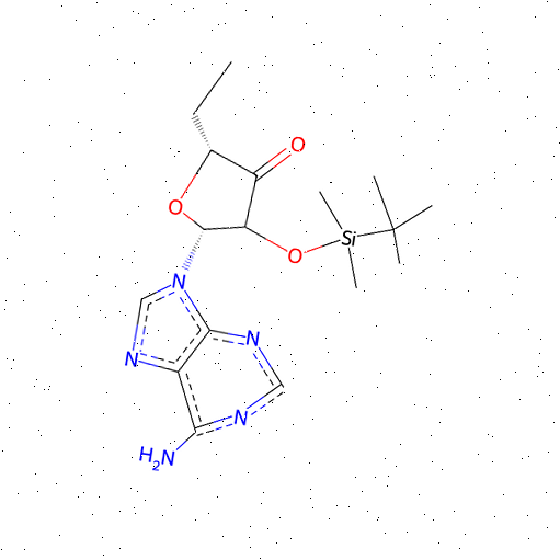 CC[C@H]1O[C@@H](n2cnc3c(N)ncnc32)C(O[Si](C)(C)C(C)(C)C)C1=O